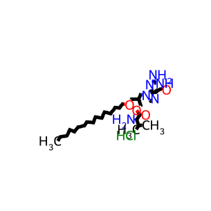 CCCCCCCCCCCCCCCCOCC(COC(=O)[C@H](N)C(C)C)Cn1cnc2c(=O)[nH]c(N)nc21.Cl